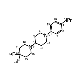 CC(C)c1ccc(N2CCC(N3CCC(F)(F)CC3)CC2)cc1